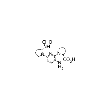 Nc1ccc(N2CCCC2NC=O)nc1N1CCCC1C(=O)O